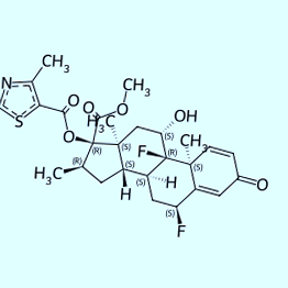 COC(=O)[C@@]1(OC(=O)c2scnc2C)[C@H](C)C[C@H]2[C@@H]3C[C@H](F)C4=CC(=O)C=C[C@]4(C)[C@@]3(F)[C@@H](O)C[C@@]21C